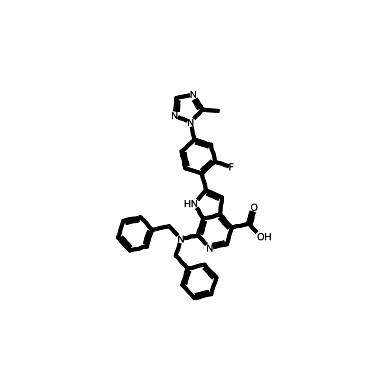 Cc1ncnn1-c1ccc(-c2cc3c(C(=O)O)cnc(N(Cc4ccccc4)Cc4ccccc4)c3[nH]2)c(F)c1